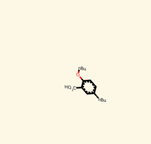 CCCCOc1ccc(CCCC)cc1C(=O)O